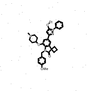 CCOc1cc(-c2cc(OC3CCN(C)CC3)c3c(c2)C2(CCC2)C(=O)N3Cc2ccc(OC)cc2)nn1-c1ccccc1